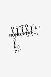 O=[N+]([O-])[O-].O=[N+]([O-])[O-].O=[N+]([O-])[O-].O=[N+]([O-])[O-].O=[N+]([O-])[O-].O=[N+]([O-])[O-].[C+4].[Ni+2]